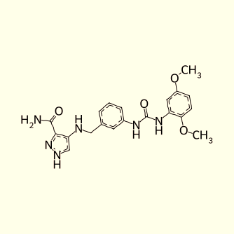 COc1ccc(OC)c(NC(=O)Nc2cccc(CNc3c[nH]nc3C(N)=O)c2)c1